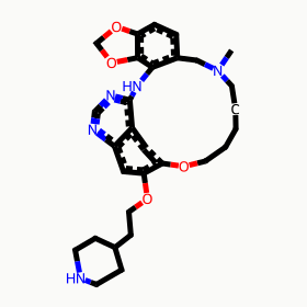 CN1CCCCCOc2cc3c(ncnc3cc2OCCC2CCNCC2)Nc2c(ccc3c2OCO3)C1